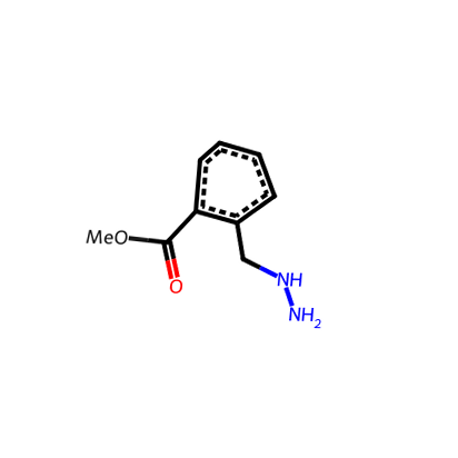 COC(=O)c1ccccc1CNN